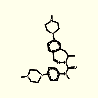 CC1Cc2cc(N3CCN(C)CC3)ccc2C=NN1C(=O)N(C)c1ccc(N2CCN(C)CC2)cc1